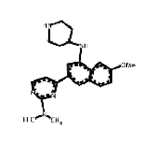 COc1ccc2cc(-c3ccnc(N(C)C)n3)cc(NC3CCNCC3)c2c1